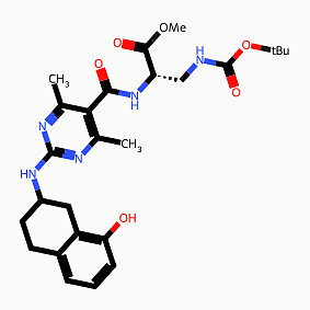 COC(=O)[C@H](CNC(=O)OC(C)(C)C)NC(=O)c1c(C)nc(NC2CCc3cccc(O)c3C2)nc1C